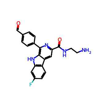 NCCNC(=O)c1cc2c([nH]c3cc(F)ccc32)c(-c2ccc(C=O)cc2)n1